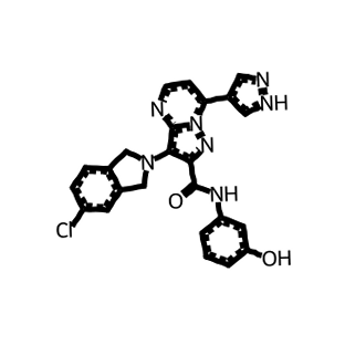 O=C(Nc1cccc(O)c1)c1nn2c(-c3cn[nH]c3)ccnc2c1N1Cc2ccc(Cl)cc2C1